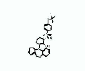 CN=S(=O)(N[C@H]1CCCC(N2c3ccccc3CCc3ccccc32)=C1O)c1ccc(OC(F)(F)F)cc1